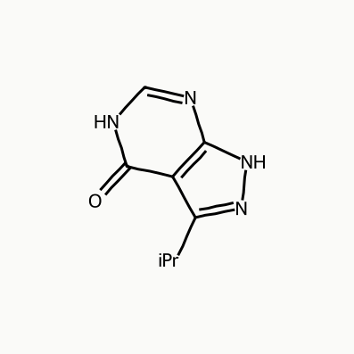 CC(C)c1n[nH]c2nc[nH]c(=O)c12